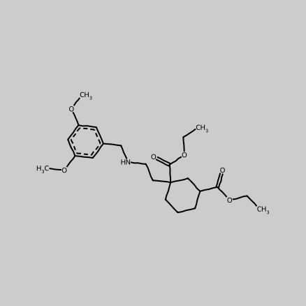 CCOC(=O)C1CCCC(CCNCc2cc(OC)cc(OC)c2)(C(=O)OCC)C1